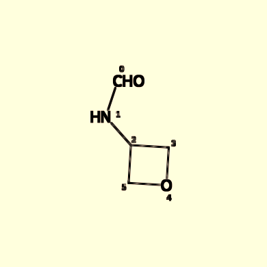 O=CNC1COC1